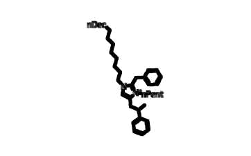 CCCCCCCCCCCCCCCCCCn1cc(CC(C)c2ccccc2)[n+](CCCCC)c1Cc1ccccc1